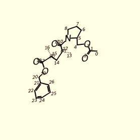 CC(=O)OCC1CCCN1C(=O)[C@H](C)C[C@@H](C)C(=O)OCc1ccccc1